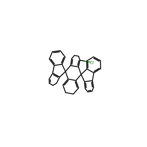 ClC1=C2C(=CCC1)C1(C3=CCCC=C3C23c2ccccc2-c2ccccc23)C2=C(C=CCC2)c2ccccc21